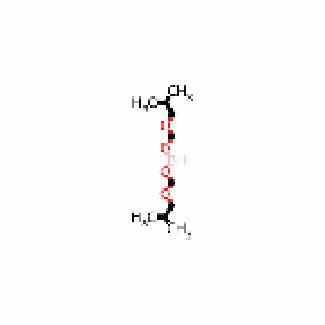 CC(C)COCOBOCOCC(C)C